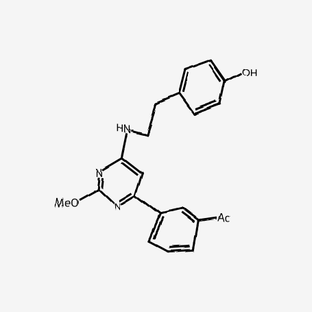 COc1nc(NCCc2ccc(O)cc2)cc(-c2cccc(C(C)=O)c2)n1